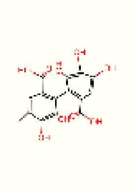 Cc1cc(C(=O)O)c(-c2c(C(=O)O)cc(O)c(O)c2O)c(O)c1O